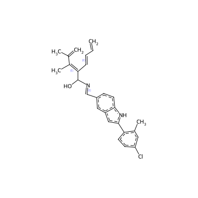 C=C/C=C/C(=C(/C)C(=C)C)C(O)/N=C/c1ccc2[nH]c(-c3ccc(Cl)cc3C)cc2c1